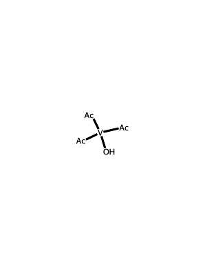 C[C](=O)[V]([OH])([C](C)=O)[C](C)=O